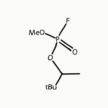 COP(=O)(F)OC(C)C(C)(C)C